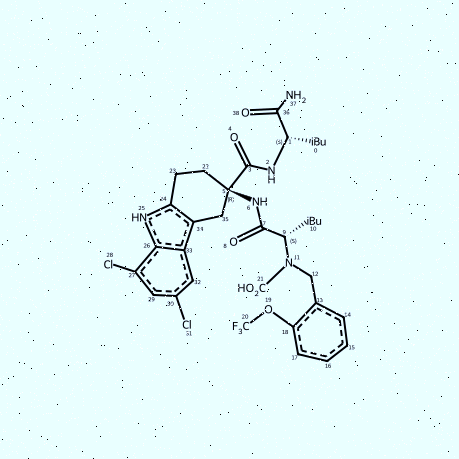 CCC(C)[C@H](NC(=O)[C@@]1(NC(=O)[C@H](C(C)CC)N(Cc2ccccc2OC(F)(F)F)C(=O)O)CCc2[nH]c3c(Cl)cc(Cl)cc3c2C1)C(N)=O